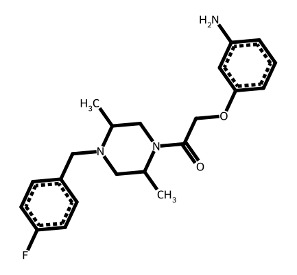 CC1CN(C(=O)COc2cccc(N)c2)C(C)CN1Cc1ccc(F)cc1